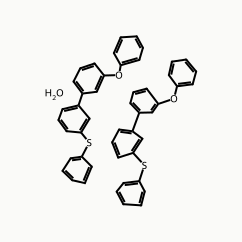 O.c1ccc(Oc2cccc(-c3cccc(Sc4ccccc4)c3)c2)cc1.c1ccc(Oc2cccc(-c3cccc(Sc4ccccc4)c3)c2)cc1